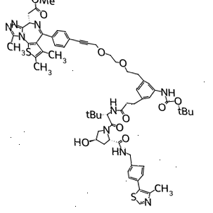 COC(=O)C[C@@H]1N=C(c2ccc(C#CCOCCOCCc3cc(CCC(=O)N[C@H](C(=O)N4C[C@H](O)C[C@H]4C(=O)NCc4ccc(-c5scnc5C)cc4)C(C)(C)C)cc(NC(=O)OC(C)(C)C)c3)cc2)c2c(sc(C)c2C)-n2c(C)nnc21